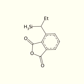 CCC([SiH3])c1cccc2c1C(=O)OC2=O